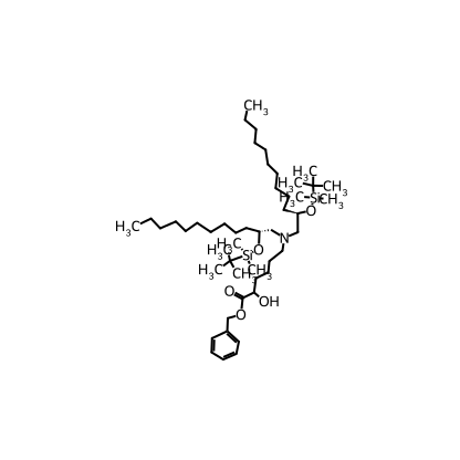 CCCCCCCCCC[C@H](CN(CCCCC(O)C(=O)OCc1ccccc1)C[C@@H](CCCCCCCCCC)O[Si](C)(C)C(C)(C)C)O[Si](C)(C)C(C)(C)C